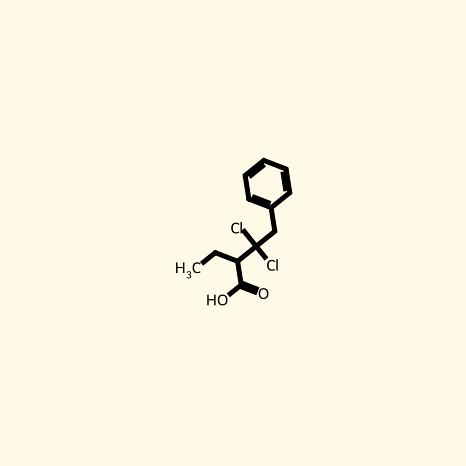 CCC(C(=O)O)C(Cl)(Cl)Cc1ccccc1